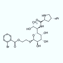 CCC[C@H]1CN[C@H](C(=O)N[C@@H]([C@H]2O[C@H](SCCOC(=O)c3ccccc3Br)[C@H](O)[C@@H](O)[C@H]2O)[C@@H](C)O)C1